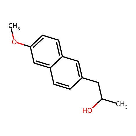 COc1ccc2cc(CC(C)O)ccc2c1